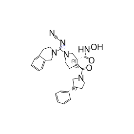 N#C/N=C(\N1CCc2ccccc2C1)N1CC[C@H](C(=O)N2CC[C@H](c3ccccc3)C2)[C@@H](C(=O)NO)C1